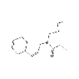 CCCCN(C/C=C\C1CC=CCC1)C(=O)CC